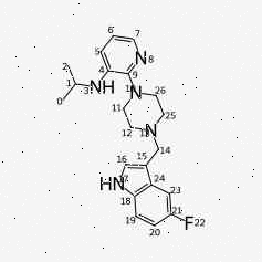 CC(C)Nc1cccnc1N1CCN(Cc2c[nH]c3ccc(F)cc23)CC1